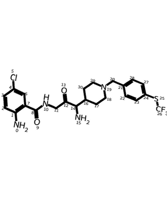 Nc1ccc(Cl)cc1C(=O)NCC(=O)C(N)C1CCN(Cc2ccc(SC(F)(F)F)cc2)CC1